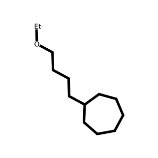 C[CH]OCCCCC1CCCCCC1